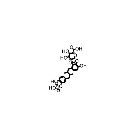 CC(Cc1ccc(O)c(O[C@@H]2O[C@H](C(=O)O)[C@@H](O)[C@H](O)[C@H]2O)c1)C(C)Cc1ccc(O)c(OS(=O)(=O)O)c1